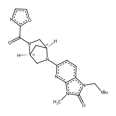 Cn1c(=O)n(CC(C)(C)C)c2ccc(N3C[C@@H]4C[C@H]3CN4C(=O)c3ncco3)nc21